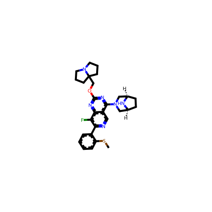 CSc1ccccc1-c1ncc2c(N3C[C@H]4CC[C@@H](C3)N4)nc(OCC34CCCN3CCC4)nc2c1F